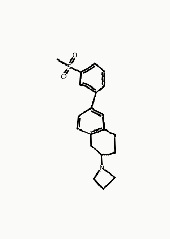 CS(=O)(=O)c1cccc(-c2ccc3c(c2)CCC(N2CCC2)C3)c1